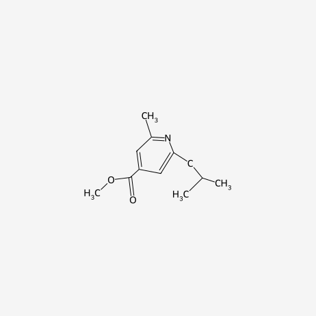 COC(=O)c1cc(C)nc(CC(C)C)c1